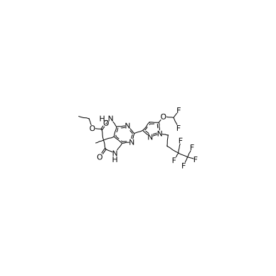 CCOC(=O)C1(C)C(=O)Nc2nc(-c3cc(OC(F)F)n(CCC(F)(F)C(F)(F)F)n3)nc(N)c21